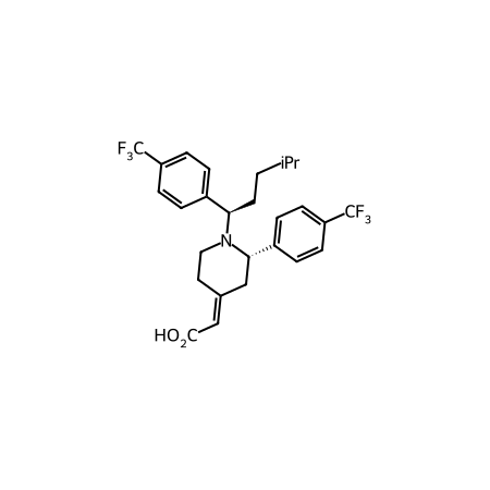 CC(C)CC[C@H](c1ccc(C(F)(F)F)cc1)N1CCC(=CC(=O)O)C[C@H]1c1ccc(C(F)(F)F)cc1